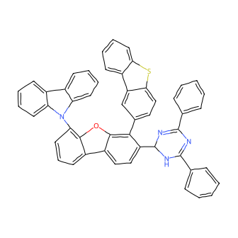 c1ccc(C2=NC(c3ccc4c(oc5c(-n6c7ccccc7c7ccccc76)cccc54)c3-c3ccc4sc5ccccc5c4c3)NC(c3ccccc3)=N2)cc1